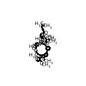 CCn1c(-c2cnccc2COC)c2c3cc(ccc31)-c1cccc(c1)C[C@H](NC(=O)[C@H](C(C)C)N(C)C(=O)C1(O)CCN(C(=O)C#CCN(C)C)C1)C(=O)N1CCC[C@@](O)(N1)C(=O)OCC(C)(C)C2